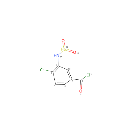 O=C(Cl)c1ccc(Cl)c(N[SH](=O)=O)c1